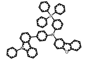 c1ccc(-n2c3ccccc3c3c(-c4ccc(N(c5cccc([Si](c6ccccc6)(c6ccccc6)c6ccccc6)c5)c5ccc6oc7ccccc7c6c5)cc4)cccc32)cc1